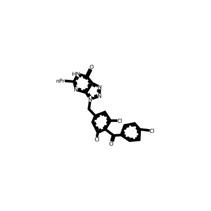 CCCc1nc2c(nnn2Cc2cc(Cl)c(C(=O)c3ccc(Cl)cc3)c(Cl)c2)c(=O)[nH]1